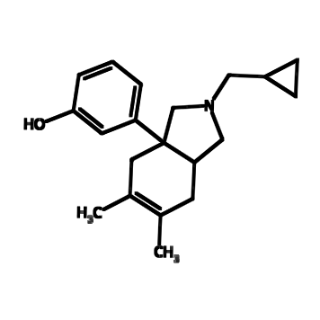 CC1=C(C)CC2(c3cccc(O)c3)CN(CC3CC3)CC2C1